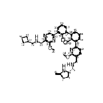 C=C1CC[C@@H](CNCc2ccc(-c3cccc(-c4cccc(-c5cnc(CNCC6CCC6)c(OC)n5)c4Cl)c3Cl)nc2OC)N1